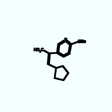 CSc1ccc(/C(=C\C2CCCC2)C(=O)O)cn1